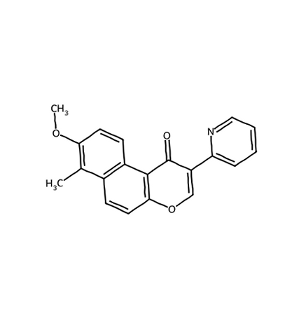 COc1ccc2c(ccc3occ(-c4ccccn4)c(=O)c32)c1C